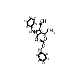 C#CC1C(C(C)OC(=O)OCc2ccccc2)C(=O)N1Cc1ccccc1